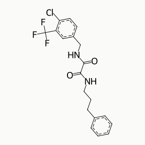 O=C(NCCCc1ccccc1)C(=O)NCc1ccc(Cl)c(C(F)(F)F)c1